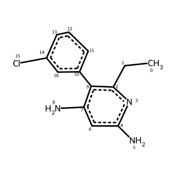 CCc1nc(N)cc(N)c1-c1cccc(Cl)c1